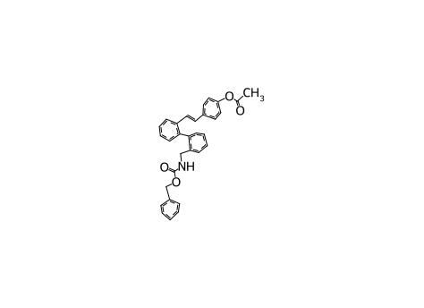 CC(=O)Oc1ccc(/C=C/c2ccccc2-c2ccccc2CNC(=O)OCc2ccccc2)cc1